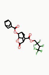 O=C(OC1C2CC3C1OC(=O)C3C2C(=O)OCC(F)(F)C(F)C(F)(F)F)C1CC2C=CC1C2